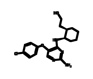 Nc1ncc(Oc2ccc(Cl)cc2)c(N[C@@H]2CCCC[C@@H]2CCO)n1